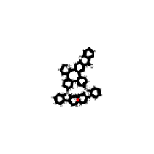 O=c1c2ccccc2oc2cc3c(cc12)-c1ccc(-n2c4ccccc4c4ccccc42)cc1-c1cc(-n2c4ccccc4c4ccccc42)ccc1-c1cccnc1-3